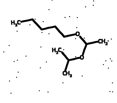 [CH2]C(OCCCCC)OC(C)C